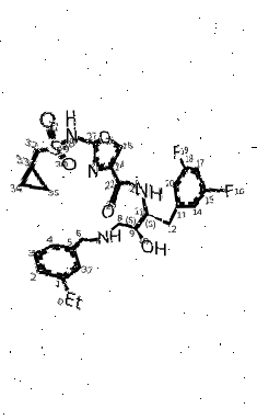 CCc1cccc(CNC[C@H](O)[C@H](Cc2cc(F)cc(F)c2)NC(=O)c2coc(NS(=O)(=O)CC3CC3)n2)c1